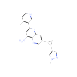 Cc1ccncc1-c1cc(N)c2ncc(C3CC3c3cnn(C)c3)cc2n1